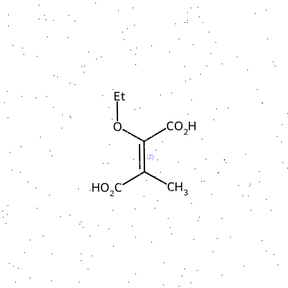 CCO/C(C(=O)O)=C(/C)C(=O)O